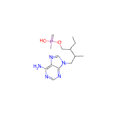 C=P(C)(O)OCC(CC)C(C)Cn1cnc2c(N)ncnc21